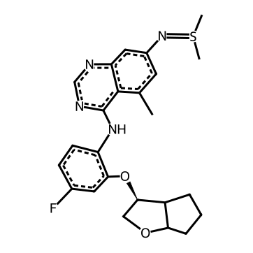 Cc1cc(N=S(C)C)cc2ncnc(Nc3ccc(F)cc3O[C@@H]3COC4CCCC43)c12